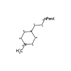 CCCCCCCC1CCN(C)CC1